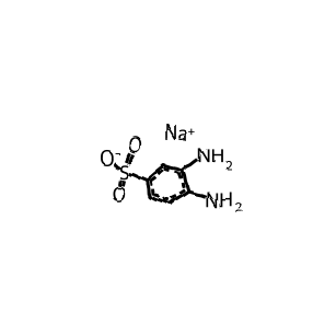 Nc1ccc(S(=O)(=O)[O-])cc1N.[Na+]